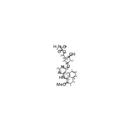 CO[C@@H]1CCc2ccccc2[C@@H]1Nc1cc(O[C@@H]2C[C@@H](COS(N)(=O)=O)[C@@H](O)C2)ncn1